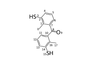 Cc1c(S)cccc1C(=O)c1cccc(S)c1C